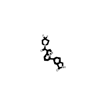 O=C1NCc2ccc(-c3cccc4c(C(=O)N5CCC(F)(F)CC5)cnn34)cc21